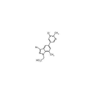 CC(=O)c1nn(CC(=O)O)c2c(C)cc(-c3cnc(C)[n+]([O-])c3)cc12